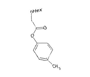 CCCCCCCC(=O)Oc1ccc(C)cc1